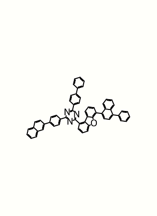 c1ccc(-c2ccc(-c3nc(-c4ccc(-c5ccc6ccccc6c5)cc4)nc(-c4cccc5oc6c(-c7ccc(-c8ccccc8)c8ccccc78)cccc6c45)n3)cc2)cc1